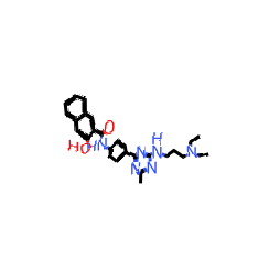 CCN(CC)CCCNc1nc(C)nc(-c2ccc(NC(=O)c3cc4ccccc4cc3O)cc2)n1